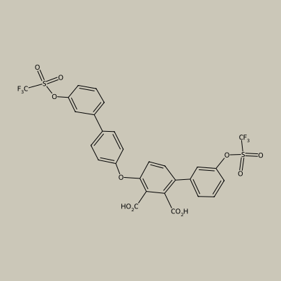 O=C(O)c1c(Oc2ccc(-c3cccc(OS(=O)(=O)C(F)(F)F)c3)cc2)ccc(-c2cccc(OS(=O)(=O)C(F)(F)F)c2)c1C(=O)O